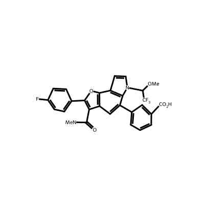 CNC(=O)c1c(-c2ccc(F)cc2)oc2c1cc(-c1cccc(C(=O)O)c1)c1c2ccn1C(OC)C(F)(F)F